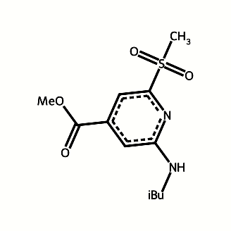 CCC(C)Nc1cc(C(=O)OC)cc(S(C)(=O)=O)n1